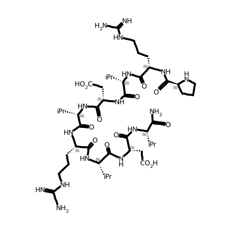 CC(C)[C@H](NC(=O)[C@H](CC(=O)O)NC(=O)[C@@H](NC(=O)[C@H](CCCNC(=N)N)NC(=O)[C@@H](NC(=O)[C@H](CC(=O)O)NC(=O)[C@@H](NC(=O)[C@H](CCCNC(=N)N)NC(=O)[C@@H]1CCCN1)C(C)C)C(C)C)C(C)C)C(N)=O